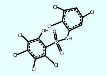 O=S(=O)(Nc1cc(Cl)cc(Cl)c1Cl)c1c(O)c(Cl)c(Cl)c(Cl)c1Cl